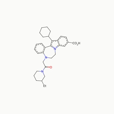 CCC1CCCN(C(=O)CN2CCn3c(c(C4CCCCC4)c4ccc(C(=O)O)cc43)-c3ccccc32)C1